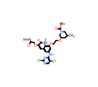 CNC(=O)COc1cc2cc(Nc3nc(Cl)ncc3Cl)cc(OCCO[C@@H]3C[C@H](C)CN(C(=O)OC(C)(C)C)C3)c2n(C)c1=O